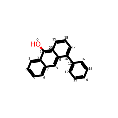 Oc1c2ccccc2cc2c(-c3ccccc3)cccc12